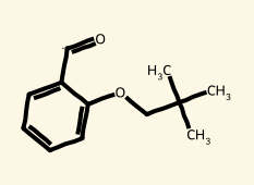 CC(C)(C)COc1ccccc1[C]=O